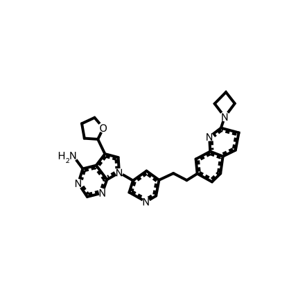 Nc1ncnc2c1c(C1CCCO1)cn2-c1cncc(CCc2ccc3ccc(N4CCC4)nc3c2)c1